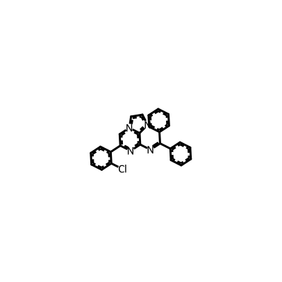 Clc1ccccc1-c1cn2ccnc2c(N=C(c2ccccc2)c2ccccc2)n1